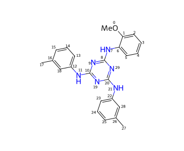 COc1ccccc1Nc1nc(Nc2cccc(C)c2)nc(Nc2cccc(C)c2)n1